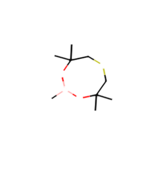 CB1OC(C)(C)CSCC(C)(C)O1